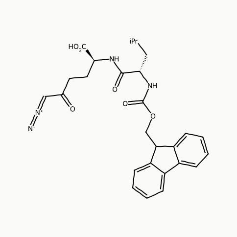 CC(C)C[C@H](NC(=O)OCC1c2ccccc2-c2ccccc21)C(=O)N[C@@H](CCC(=O)C=[N+]=[N-])C(=O)O